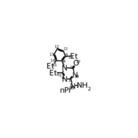 CCCN(N)c1nc(CC)n(-c2c(CC)cccc2CC)c(=O)n1